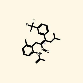 C=C(C)Nc1cccc(C)c1C/C(N=O)=C(/CC(C)C)c1cccc(C(F)(F)F)c1